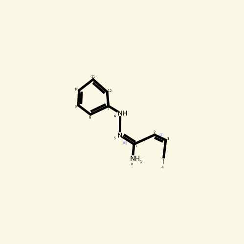 NC(/C=C\I)=N/Nc1ccccc1